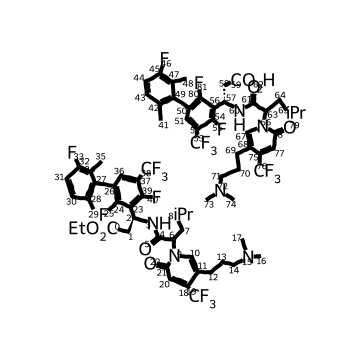 CCOC(=O)C[C@H](NC(=O)C(CC(C)C)n1cc(CCCN(C)C)c(C(F)(F)F)cc1=O)c1c(F)c(-c2c(C)ccc(F)c2C)cc(C(F)(F)F)c1F.Cc1ccc(F)c(C)c1-c1cc(C(F)(F)F)c(F)c([C@H](CC(=O)O)NC(=O)C(CC(C)C)n2cc(CCCN(C)C)c(C(F)(F)F)cc2=O)c1F